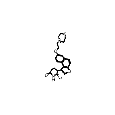 O=C1CCC(c2coc3ccc4cc(OCCN5CCSCC5)ccc4c23)C(=O)N1